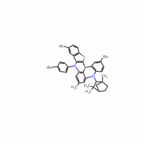 Cc1cc2c3c(c1)N(C1C4(C)CCC(C4)C1(C)C)c1ccc(C(C)(C)C)cc1B3c1sc3ccc(C(C)(C)C)cc3c1N2c1ccc(C(C)(C)C)cc1